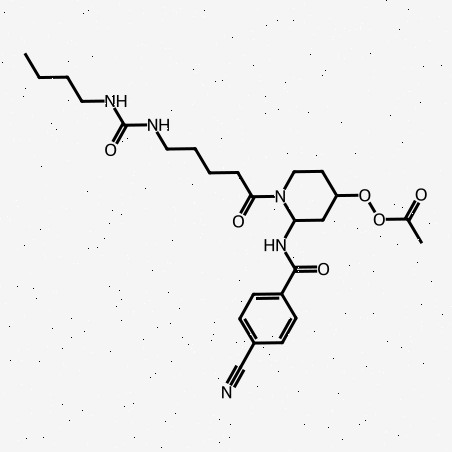 CCCCNC(=O)NCCCCC(=O)N1CCC(OOC(C)=O)CC1NC(=O)c1ccc(C#N)cc1